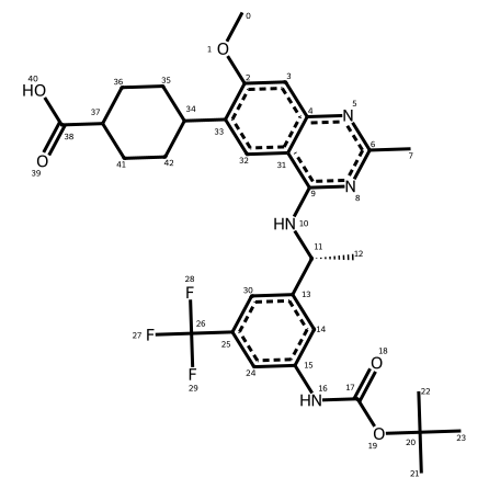 COc1cc2nc(C)nc(N[C@H](C)c3cc(NC(=O)OC(C)(C)C)cc(C(F)(F)F)c3)c2cc1C1CCC(C(=O)O)CC1